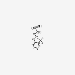 CC(C)(C)c1ccccc1CCCC(=O)C(=O)O